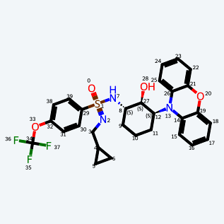 O=S(=NCC1CC1)(N[C@H]1CCC[C@H](N2c3ccccc3Oc3ccccc32)[C@@H]1O)c1ccc(OC(F)(F)F)cc1